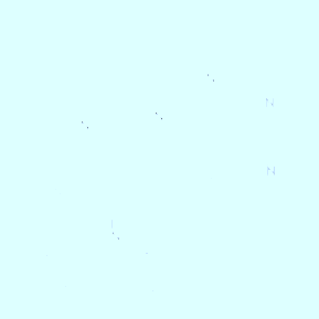 O=C(NC1CC1)C1CCc2[nH]c3ncnc(Nc4ccccc4N4CCOCC4)c3c2C1